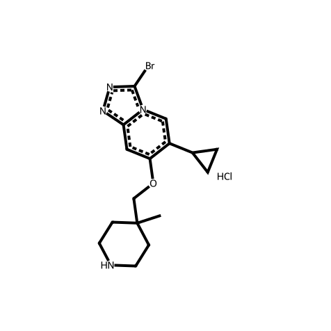 CC1(COc2cc3nnc(Br)n3cc2C2CC2)CCNCC1.Cl